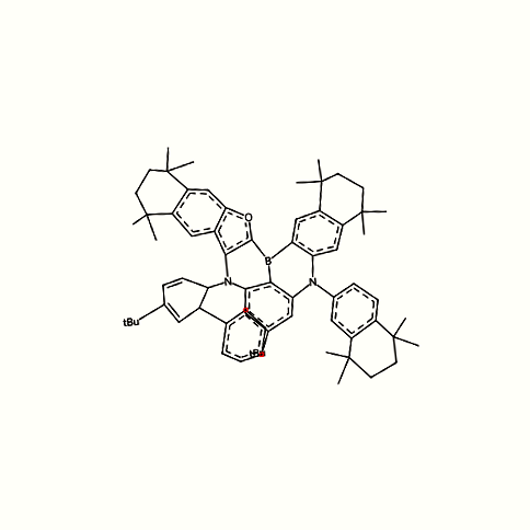 CC(C)(C)C1=CC(c2ccccc2)C(N2c3cc(C(C)(C)C)cc4c3B(c3cc5c(cc3N4c3ccc4c(c3)C(C)(C)CCC4(C)C)C(C)(C)CCC5(C)C)c3oc4cc5c(cc4c32)C(C)(C)CCC5(C)C)C=C1